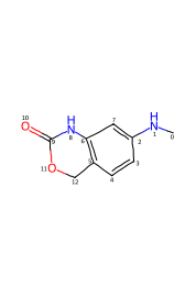 CNc1ccc2c(c1)NC(=O)OC2